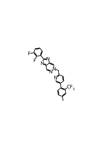 Cc1ccc(-c2ccc(Cn3cc4nc(-c5cccc(F)c5F)nc-4cn3)nc2)c(C(F)(F)F)c1